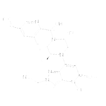 CC[C@H]1CN(C(C)c2ncc(OC(F)(F)F)cc2F)[C@H](CC)CN1c1cc(=O)n(C)c2cn(CC#N)nc12